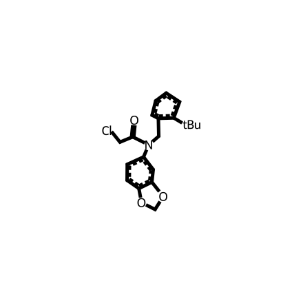 CC(C)(C)c1ccccc1CN(C(=O)CCl)c1ccc2c(c1)OCO2